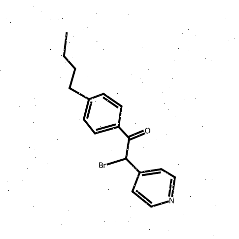 CCCCc1ccc(C(=O)C(Br)c2ccncc2)cc1